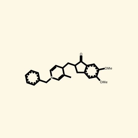 COc1cc2c(cc1OC)C(=O)C(CC1C=CN(Cc3ccccc3)C=C1C)C2